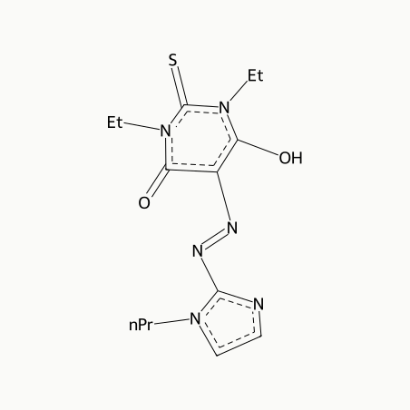 CCCn1ccnc1N=Nc1c(O)n(CC)c(=S)n(CC)c1=O